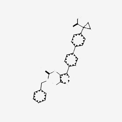 COC(=O)C1(c2ccc(-c3ccc(-c4snc(C)c4NC(=O)OCc4ccccc4)cc3)cc2)CC1